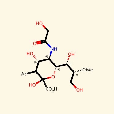 CO[C@H](CO)[C@@H](O)[C@@H]1OC(O)(C(=O)O)C(C(C)=O)[C@H](O)[C@H]1NC(=O)CO